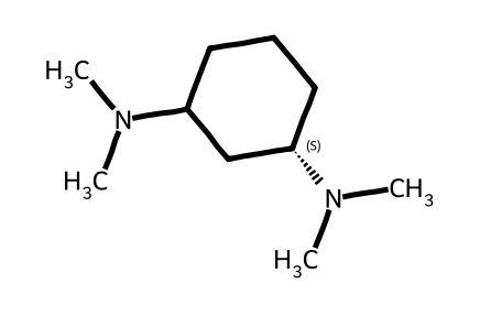 CN(C)C1CCC[C@H](N(C)C)C1